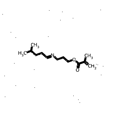 C=C(C)C(=O)OCCCN=CCCC(C)C